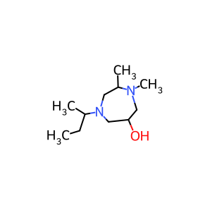 CCC(C)N1CC(O)CN(C)C(C)C1